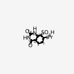 CC(C)c1ccc2c(=O)[nH]c(=O)[nH]c2c1S(=O)(=O)O